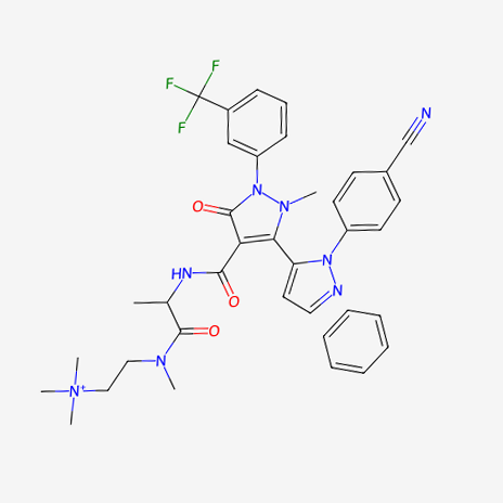 CC(NC(=O)c1c(-c2ccnn2-c2ccc(C#N)cc2)n(C)n(-c2cccc(C(F)(F)F)c2)c1=O)C(=O)N(C)CC[N+](C)(C)C.c1ccccc1